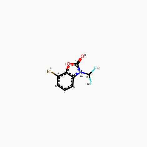 O=c1oc2c(Br)cccc2n1C(F)F